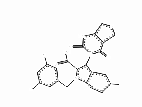 Cc1ccc2c(c1)c(-n1c(=O)[nH]c3cscc3c1=O)c(C(=O)O)n2Cc1cc(F)cc(Cl)c1